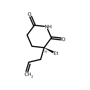 C=CC[C@]1(CC)CCC(=O)NC1=O